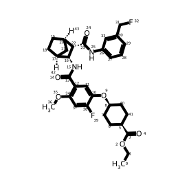 CCOC(=O)[C@H]1CC[C@@H](Oc2cc(C(=O)N[C@@H]3[C@H]4CC[C@H](C4)[C@@H]3C(=O)Nc3cccc(CF)c3)c(OC)cc2F)CC1